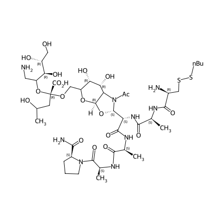 CCCCSSC[C@H](N)C(=O)N[C@@H](C)C(=O)N[C@H](C(=O)N[C@@H](C)C(=O)N[C@@H](C)C(=O)N1CCC[C@H]1C(N)=O)[C@@H]1O[C@H]2OC(CO[C@](CC(C)O)(OC(CN)[C@H](O)[C@H](O)CO)C(=O)O)[C@H](O)[C@H](O)C2N1C(C)=O